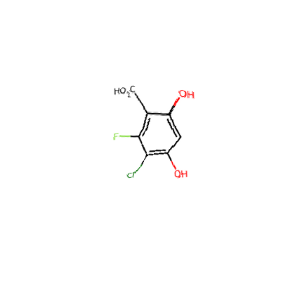 O=C(O)c1c(O)cc(O)c(Cl)c1F